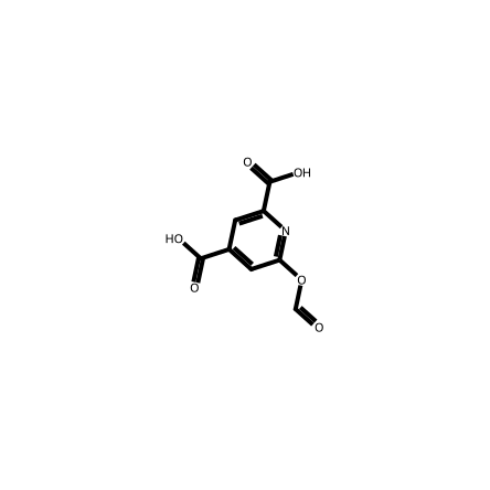 O=COc1cc(C(=O)O)cc(C(=O)O)n1